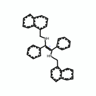 c1ccc(/C(NCc2cccc3ccccc23)=C(\NCc2cccc3ccccc23)c2ccccc2)cc1